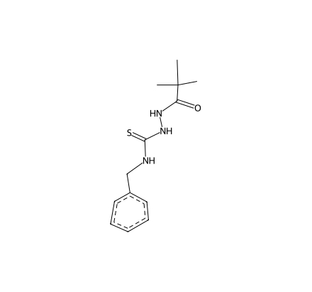 CC(C)(C)C(=O)NNC(=S)NCc1ccccc1